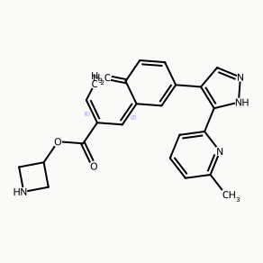 C=c1ccc(-c2cn[nH]c2-c2cccc(C)n2)c/c1=C/C(=C\C)C(=O)OC1CNC1